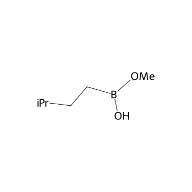 COB(O)CCC(C)C